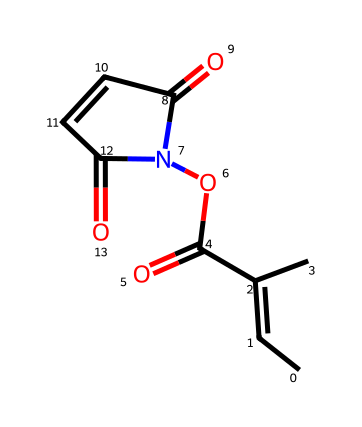 C/C=C(\C)C(=O)ON1C(=O)C=CC1=O